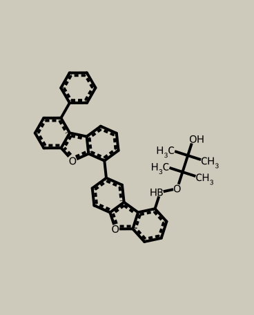 CC(C)(O)C(C)(C)OBc1cccc2oc3ccc(-c4cccc5c4oc4cccc(-c6ccccc6)c45)cc3c12